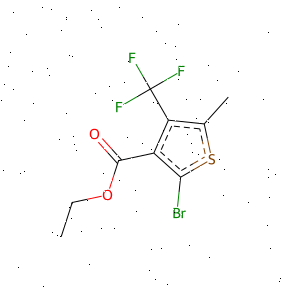 CCOC(=O)c1c(Br)sc(C)c1C(F)(F)F